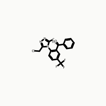 Cc1nnc(CCl)n1-c1ccc(C(F)(F)F)cc1C(=O)c1ccccc1